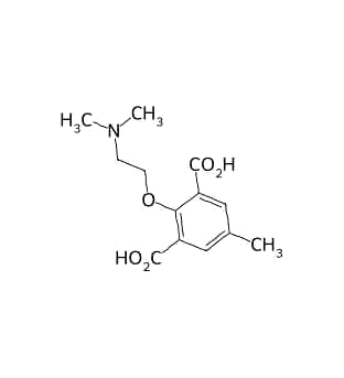 Cc1cc(C(=O)O)c(OCCN(C)C)c(C(=O)O)c1